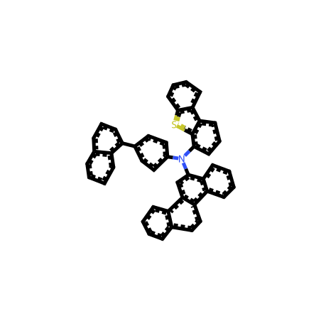 c1ccc2c(-c3ccc(N(c4cc5c6ccccc6ccc5c5ccccc45)c4cccc5c4sc4ccccc45)cc3)cccc2c1